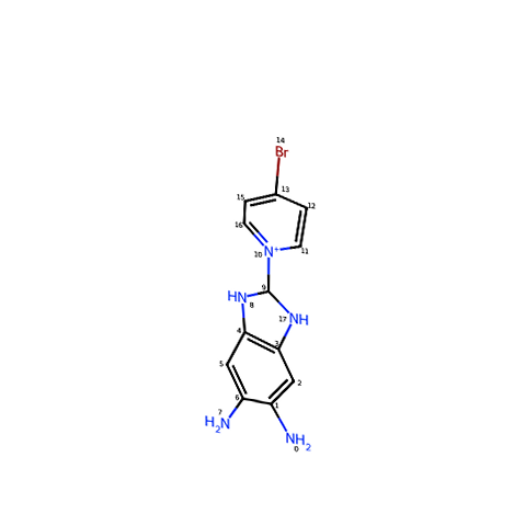 Nc1cc2c(cc1N)NC([n+]1ccc(Br)cc1)N2